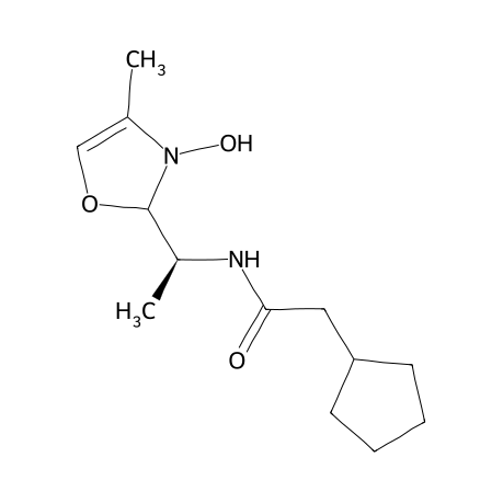 CC1=COC([C@H](C)NC(=O)CC2CCCC2)N1O